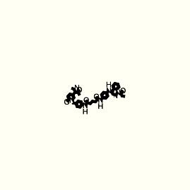 CCC(=O)N1c2ccccc2[C@H](Nc2ccc(NC(=O)CCCC(=O)Nc3ccc(Cn4cc(-c5c(C)noc5C)ccc4=O)cc3)cc2)C[C@@H]1C